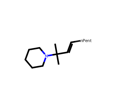 CCCCCC=CC(C)(C)N1CCCCC1